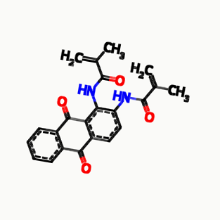 C=C(C)C(=O)Nc1ccc2c(c1NC(=O)C(=C)C)C(=O)c1ccccc1C2=O